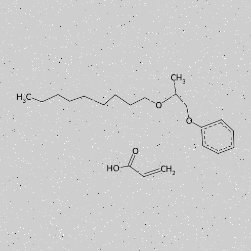 C=CC(=O)O.CCCCCCCCCOC(C)COc1ccccc1